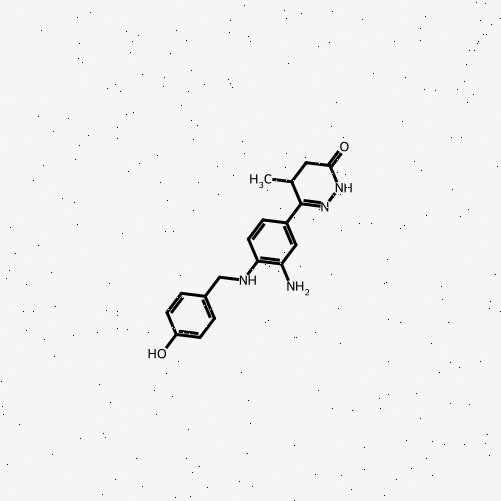 CC1CC(=O)NN=C1c1ccc(NCc2ccc(O)cc2)c(N)c1